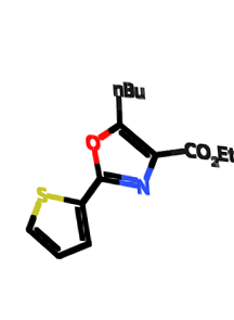 CCCCc1oc(-c2cccs2)nc1C(=O)OCC